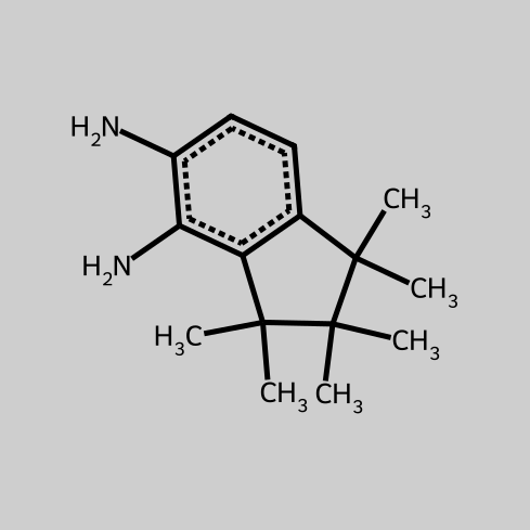 CC1(C)c2ccc(N)c(N)c2C(C)(C)C1(C)C